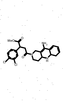 COC(=O)C(CC(=O)N1CCC2NC3CC=CC=C3C(N)=C2C1)c1ccc(Cl)c(Cl)c1